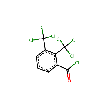 O=C(Cl)c1cccc(C(Cl)(Cl)Cl)c1C(Cl)(Cl)Cl